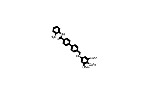 COc1cc(NCc2ccc(-c3ccc(C(=O)Nc4ccccc4N)cc3)cc2)cc(OC)c1OC